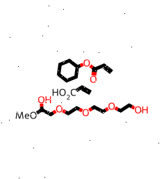 C=CC(=O)O.C=CC(=O)OC1CCCCC1.COC(O)COCCOCCOCCO